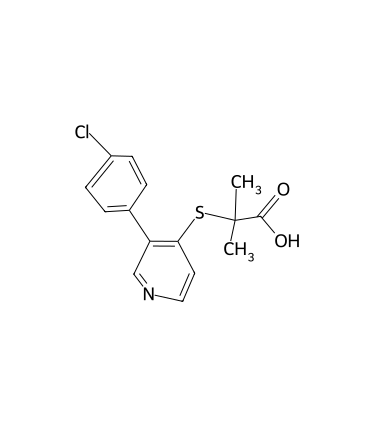 CC(C)(Sc1ccncc1-c1ccc(Cl)cc1)C(=O)O